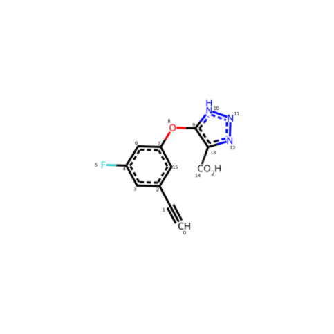 C#Cc1cc(F)cc(Oc2[nH]nnc2C(=O)O)c1